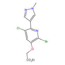 CCOC(=O)COc1cc(Cl)c(-c2cnn(C)c2)nc1Br